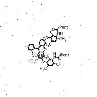 CCCC(C)C(=O)Nc1c(C)cc(C)c(/N=c2\cc3oc4cc(Nc5c(C)cc(C)c(NC(=O)C(C)CCC)c5C)ccc4c(-c4ccccc4S(=O)(=O)O)c-3cc2S(=O)(=O)O)c1C